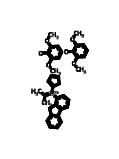 COc1cccc(OC)c1[O-].COc1cccc(OC)c1[O-].C[C](C)=[Zr+2]([C]1=CC=CC1)[c]1cccc2c1Cc1ccccc1-2